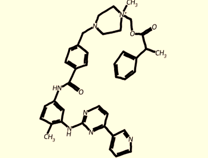 Cc1ccc(NC(=O)c2ccc(CN3CC[N+](C)(COC(=O)C(C)c4ccccc4)CC3)cc2)cc1Nc1nccc(-c2cccnc2)n1